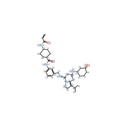 C=CC(=O)N[C@H]1CC[C@@H](C(=O)Nc2cccc(CNc3nc(NC4CCCC(O)C4)nc4c(C(C)C)cnn34)c2)CC1